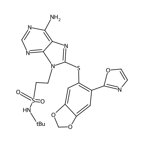 CC(C)(C)NS(=O)(=O)CCn1c(Sc2cc3c(cc2-c2ncco2)OCO3)nc2c(N)ncnc21